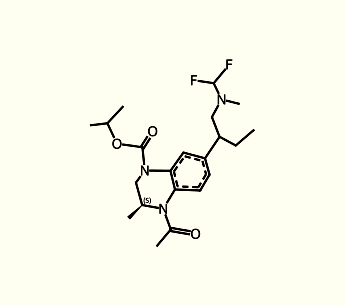 CCC(CN(C)C(F)F)c1ccc2c(c1)N(C(=O)OC(C)C)C[C@H](C)N2C(C)=O